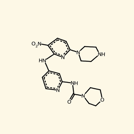 O=C(Nc1cc(Nc2nc(N3CCNCC3)ccc2[N+](=O)[O-])ccn1)N1CCOCC1